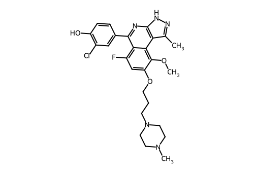 COc1c(OCCCN2CCN(C)CC2)cc(F)c2c(-c3ccc(O)c(Cl)c3)nc3[nH]nc(C)c3c12